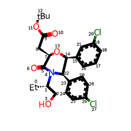 CC[C@@H](CO)N1C(=O)[C@@H](CC(=O)OC(C)(C)C)O[C@@H](c2cccc(Cl)c2)[C@H]1c1ccc(Cl)cc1